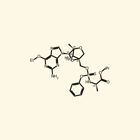 CCOc1nc(N)nc2c1ncn2[C@@H]1O[C@@]2(COP(=S)(N[C@H](C)C(=O)OC(C)C)Oc3ccccc3)CO[C@]1(C)[C@@H]2O